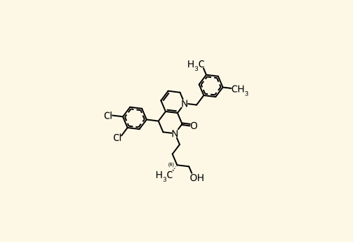 Cc1cc(C)cc(CN2CC=CC3=C2C(=O)N(CC[C@@H](C)CO)CC3c2ccc(Cl)c(Cl)c2)c1